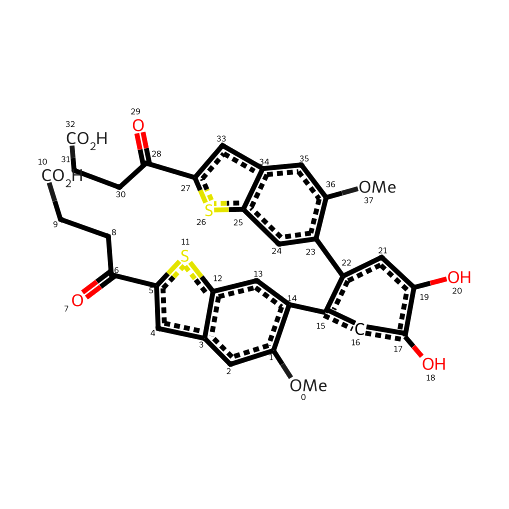 COc1cc2cc(C(=O)CCC(=O)O)sc2cc1-c1cc(O)c(O)cc1-c1cc2sc(C(=O)CCC(=O)O)cc2cc1OC